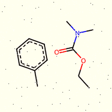 CCOC(=O)N(C)C.Cc1ccccc1